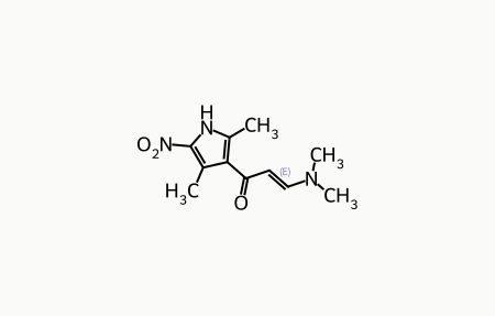 Cc1[nH]c([N+](=O)[O-])c(C)c1C(=O)/C=C/N(C)C